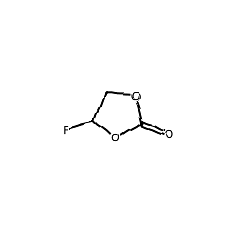 O=C1OCC(F)O1